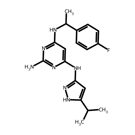 CC(C)c1cc(Nc2cc(NC(C)c3ccc(F)cc3)nc(N)n2)n[nH]1